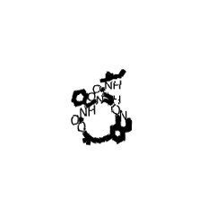 C=CC1CC1(C)NC(=O)[C@@H]1C[C@@H]2CN1C(=O)[C@H](C1CCCCC1)NC(=O)OCC(C)(C)CCCc1ccc3ccnc(c3c1)O2